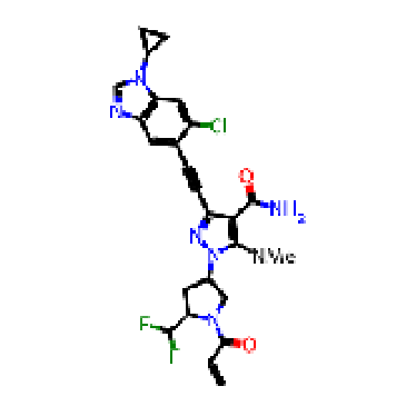 C=CC(=O)N1CC(n2nc(C#Cc3cc4ncn(C5CC5)c4cc3Cl)c(C(N)=O)c2NC)C[C@@H]1C(F)F